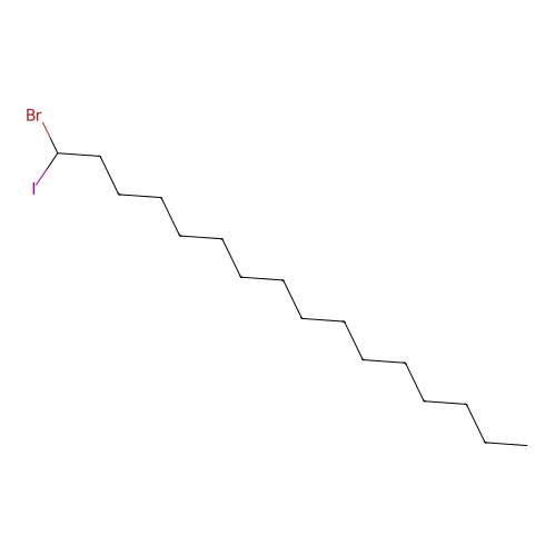 CCCCCCCCCCCCCCCC(Br)I